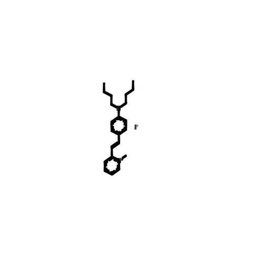 CCCCN(CCCC)c1ccc(C=Cc2cccc[n+]2C)cc1.[I-]